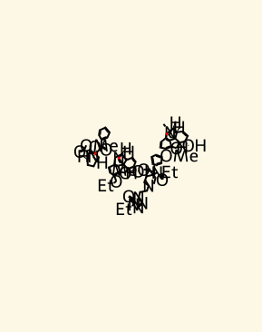 CCC(=O)N(c1ccccc1)C1(COC)CCN(CCn2nnn(CC)c2=O)CC1.CCOc1ccc2c3c1O[C@H]1[C@@H](O)C=C[C@H]4[C@@H](C2)N(C)CC[C@@]341.COC(=O)[C@H]1[C@@H](OC(=O)c2ccccc2)C[C@@H]2CC[C@H]1N2C.COc1ccc2c3c1O[C@H]1[C@@H](O)C=C[C@H]4[C@@H](C2)N(C)CC[C@@]341